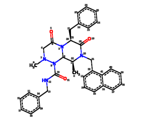 C[C@H]1C2N(C(=O)CN(C)N2C(=O)NCc2ccccc2)[C@@H](Cc2cc[c]cc2)C(=O)N1Cc1cccc2ccccc12